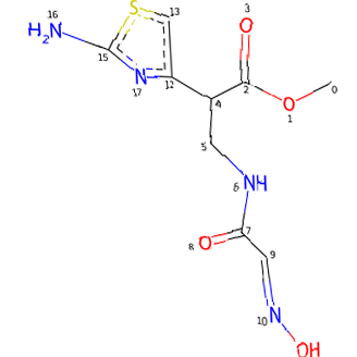 COC(=O)C(CNC(=O)C=NO)c1csc(N)n1